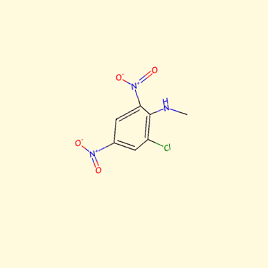 CNc1c(Cl)cc([N+](=O)[O-])cc1[N+](=O)[O-]